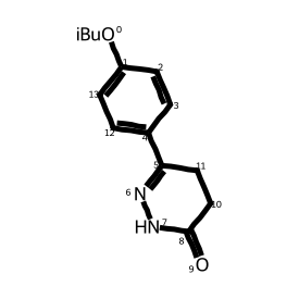 CC(C)COc1ccc(C2=NNC(=O)CC2)cc1